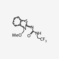 COCn1c(=NC(=O)NCC(F)(F)F)sc2ccccc21